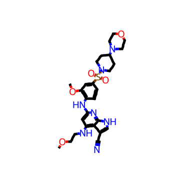 COCCNc1cc(Nc2ccc(S(=O)(=O)N3CCC(N4CCOCC4)CC3)cc2OC)nc2[nH]cc(C#N)c12